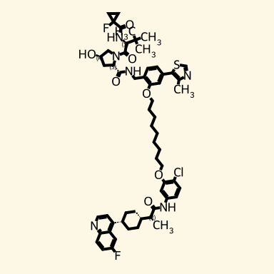 Cc1ncsc1-c1ccc(CNC(=O)[C@@H]2C[C@@H](O)CN2C(=O)[C@@H](NC(=O)C2(F)CC2)C(C)(C)C)c(OCCCCCCCCCOc2cc(NC(=O)[C@H](C)[C@H]3CC[C@@H](c4ccnc5ccc(F)cc54)CC3)ccc2Cl)c1